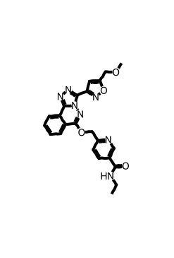 CCNC(=O)c1ccc(COc2nn3c(-c4cc(COC)on4)nnc3c3ccccc23)nc1